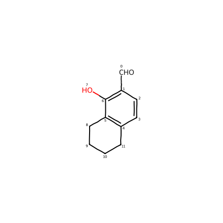 O=Cc1ccc2c(c1O)CCCC2